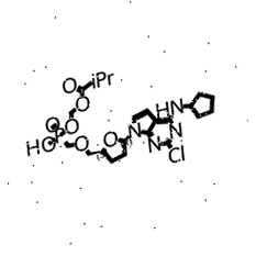 CC(C)C(=O)OCOP(=O)(O)COC[C@@H]1CC[C@H](n2ccc3c(NC4CCCC4)nc(Cl)nc32)O1